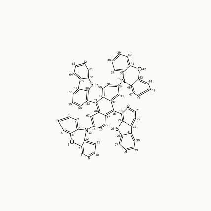 c1ccc2c(c1)Oc1ccccc1N2c1ccc2c(-c3cccc4c3sc3ccccc34)c3cc(N4c5ccccc5Oc5ccccc54)ccc3c(-c3cccc4c3sc3ccccc34)c2c1